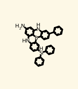 Nc1cc2c3c(c1)Nc1ccc([SiH](c4ccccc4)c4ccccc4)cc1B3c1ccc(-c3ccccc3)cc1N2